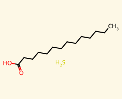 CCCCCCCCCCCCCC(=O)O.S